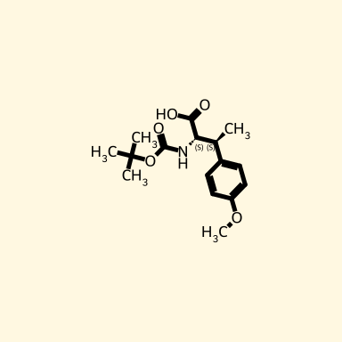 COc1ccc([C@H](C)[C@H](NC(=O)OC(C)(C)C)C(=O)O)cc1